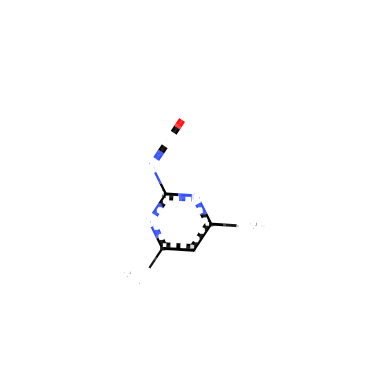 COc1cc(OC)nc(N=C=O)n1